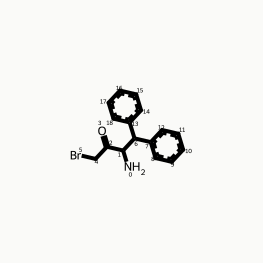 NC(C(=O)CBr)C(c1ccccc1)c1ccccc1